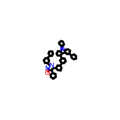 c1ccc(-c2cccc(-c3nc(-c4cccc(-c5cccc(-c6cccc7c6c6cc(-c8ccccc8)ccc6n7-c6ccccc6)c5)c4)c4c(n3)oc3ccccc34)c2)cc1